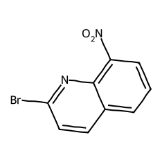 O=[N+]([O-])c1cccc2ccc(Br)nc12